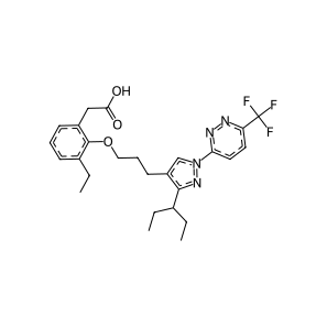 CCc1cccc(CC(=O)O)c1OCCCc1cn(-c2ccc(C(F)(F)F)nn2)nc1C(CC)CC